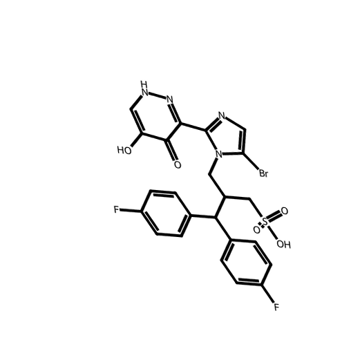 O=c1c(O)c[nH]nc1-c1ncc(Br)n1CC(CS(=O)(=O)O)C(c1ccc(F)cc1)c1ccc(F)cc1